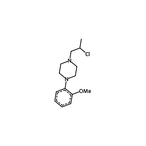 COc1ccccc1N1CCN(CC(C)Cl)CC1